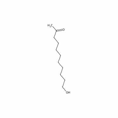 CC(=O)CCCCCCCCCO